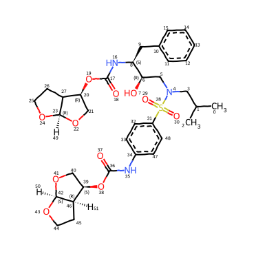 CC(C)CN(C[C@@H](O)[C@H](Cc1ccccc1)NC(=O)O[C@H]1CO[C@H]2OCCC21)S(=O)(=O)c1ccc(NC(=O)O[C@@H]2CO[C@@H]3OCC[C@@H]32)cc1